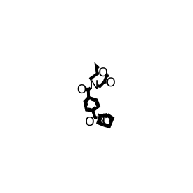 O=C(c1ccc(C(=O)n2c3ccc2cc3)cc1)N(CC1CO1)CC1CO1